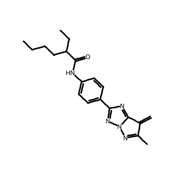 C=c1c(C)nn2nc(-c3ccc(NC(=O)C(CC)CCCC)cc3)nc12